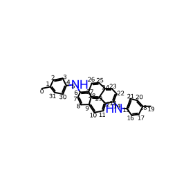 Cc1ccc(Nc2ccc3ccc4c(Nc5ccc(C)cc5)ccc5ccc2c3c54)cc1